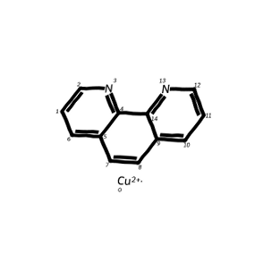 [Cu+2].c1cnc2c(c1)ccc1cccnc12